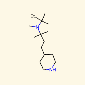 CCC(C)(C)N(C)C(C)(C)CCC1CCNCC1